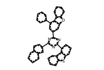 c1ccc(-c2cc(-c3nc(-c4ccc5ccccc5c4)nc(-c4cccc5sc6ccccc6c45)n3)cc3oc4ccccc4c23)cc1